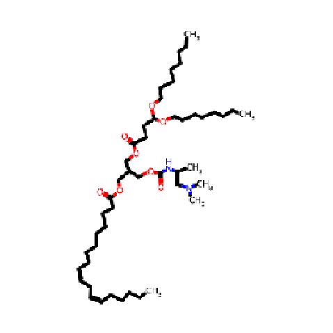 CCCCC/C=C\C/C=C\CCCCCCCC(=O)OCC(COC(=O)CCC(OCCCCCCCC)OCCCCCCCC)COC(=O)NC(C)CN(C)C